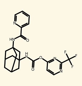 O=C(NC12CC3CC(C1)CC(NC(=O)c1ccccn1)(C3)C2)Oc1ccnc(C(F)(F)F)n1